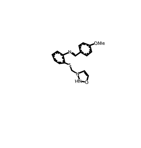 COc1ccc(C=Nc2ccccc2SCN2C=CON2)cc1